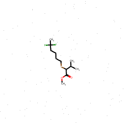 COC(=O)C(SCCCCC(C)(F)F)C(C)C